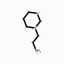 NCCN1CCC[N]C1